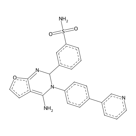 NC1=c2ccoc2=NC(c2cccc(S(N)(=O)=O)c2)N1c1ccc(-c2cccnc2)cc1